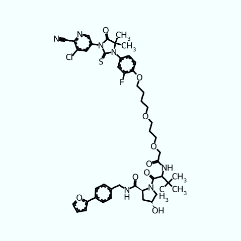 CC(C)(C)C(NC(=O)COCCCOCCCCOc1ccc(N2C(=S)N(c3cnc(C#N)c(Cl)c3)C(=O)C2(C)C)cc1F)C(=O)N1C[C@H](O)C[C@H]1C(=O)NCc1ccc(-c2ccco2)cc1